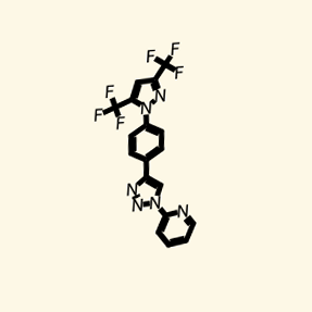 FC(F)(F)c1cc(C(F)(F)F)n(-c2ccc(-c3cn(-c4ccccn4)nn3)cc2)n1